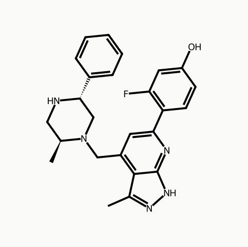 Cc1n[nH]c2nc(-c3ccc(O)cc3F)cc(CN3C[C@@H](c4ccccc4)NC[C@@H]3C)c12